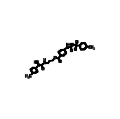 Cc1ccc(N(S)C(=O)NCCCOC(=O)c2ccc(NC(=O)NS(=O)(=O)c3ccc(C)cc3)cc2)cc1